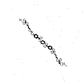 C=CC(=O)OCCCCOCOc1ccc(C(=O)O[C@H]2CC[C@H](OC(=O)c3ccc(OC(=O)OCCCCOC(=O)C=C)cc3)CC2)cc1